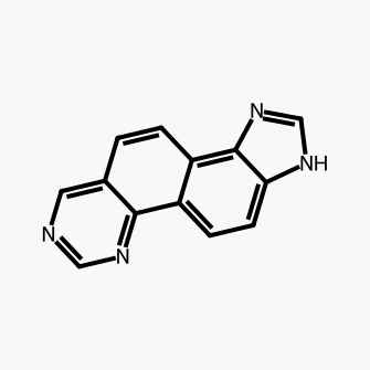 c1ncc2ccc3c(ccc4[nH]cnc43)c2n1